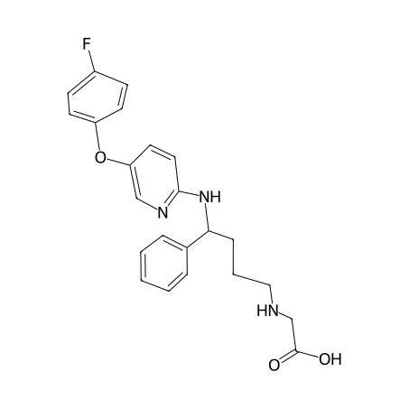 O=C(O)CNCCCC(Nc1ccc(Oc2ccc(F)cc2)cn1)c1ccccc1